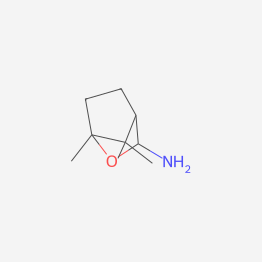 CC12CCC(C(N)O1)C2(C)C